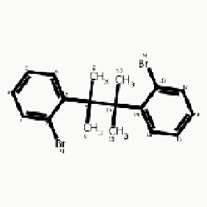 CC(C)(c1ccccc1Br)C(C)(C)c1ccccc1Br